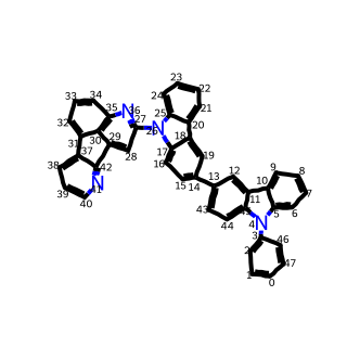 c1ccc(-n2c3ccccc3c3cc(-c4ccc5c(c4)c4ccccc4n5-c4cc5c6c(cccc6n4)-c4cccnc4-5)ccc32)cc1